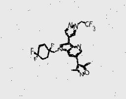 Cc1noc(C)c1-c1cnc2c(-c3cnn(CC(F)(F)F)c3)cn(CC3(F)CCC(F)(F)CC3)c2c1